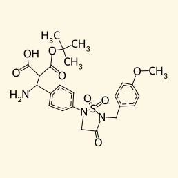 COc1ccc(CN2C(=O)CN(c3ccc(C(N)C(C(=O)O)C(=O)OC(C)(C)C)cc3)S2(=O)=O)cc1